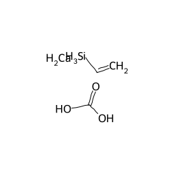 C=C[SiH3].O=C(O)O.[CaH2]